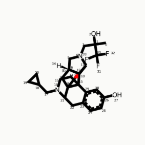 CC(O)(CN1C[C@H]2CC34CCC1C2C31CCN(CC2CC2)C4Cc2ccc(O)cc21)C(F)(F)F